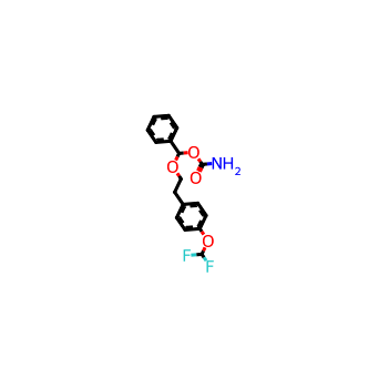 NC(=O)OC(OCCc1ccc(OC(F)F)cc1)c1ccccc1